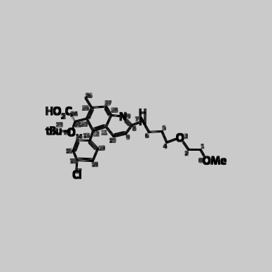 COCCOCCCNc1ccc2c(-c3ccc(Cl)cc3)c([C@H](OC(C)(C)C)C(=O)O)c(C)cc2n1